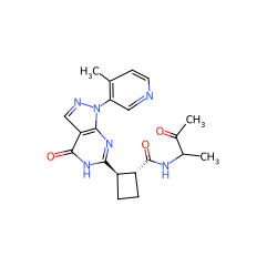 CC(=O)C(C)NC(=O)[C@@H]1CC[C@H]1c1nc2c(cnn2-c2cnccc2C)c(=O)[nH]1